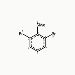 CSc1c(Br)cccc1Br